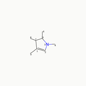 CC1=CN(C)C(C)C1C